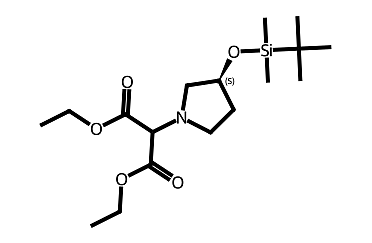 CCOC(=O)C(C(=O)OCC)N1CC[C@H](O[Si](C)(C)C(C)(C)C)C1